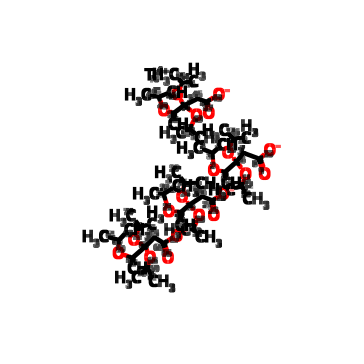 C=C(OC(C)C)C(CC(=O)[O-])(OC(C)C)OC(C)C.C=C(OC(C)C)C(CC(=O)[O-])(OC(C)C)OC(C)C.C=C(OC(C)C)C(CC(=O)[O-])(OC(C)C)OC(C)C.C=C(OC(C)C)C(CC(=O)[O-])(OC(C)C)OC(C)C.[Ti+4]